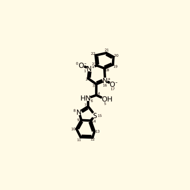 [O-][n+]1cc(C(O)Nc2nc3ccccc3s2)[n+]([O-])c2ccccc21